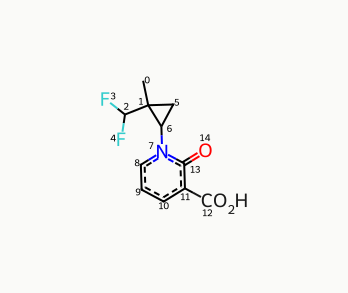 CC1(C(F)F)CC1n1cccc(C(=O)O)c1=O